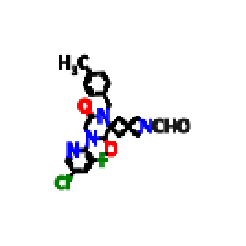 Cc1ccc(CN2C(=O)CN(c3ncc(Cl)cc3F)C(=O)C23CC2(CN(C=O)C2)C3)cc1